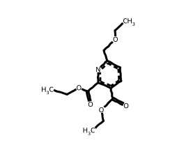 CCOCc1ccc(C(=O)OCC)c(C(=O)OCC)n1